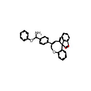 C=C1/C=C(/c2ccc(C(N)Oc3ccccc3)cc2)COc2ccccc2C12c1ccccc1-c1ccccc12